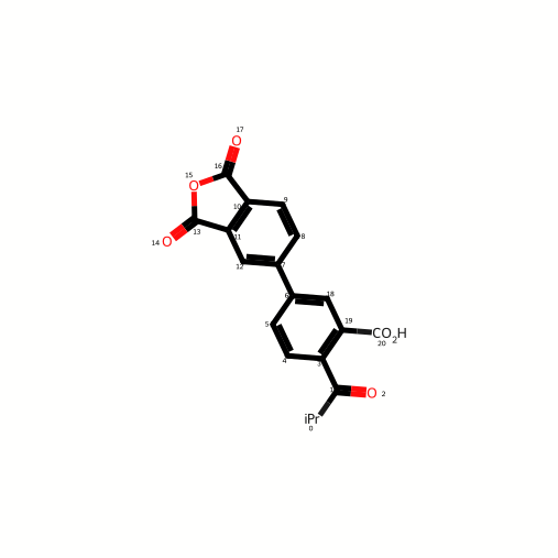 CC(C)C(=O)c1ccc(-c2ccc3c(c2)C(=O)OC3=O)cc1C(=O)O